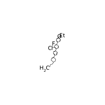 C=CCCC1CC=C(c2ccc(-c3ccc(-c4ccc(OCC)cc4)c(F)c3Cl)cc2)CC1